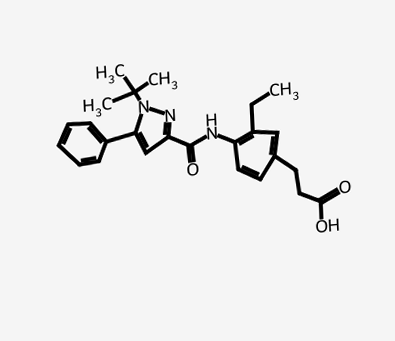 CCc1cc(CCC(=O)O)ccc1NC(=O)c1cc(-c2ccccc2)n(C(C)(C)C)n1